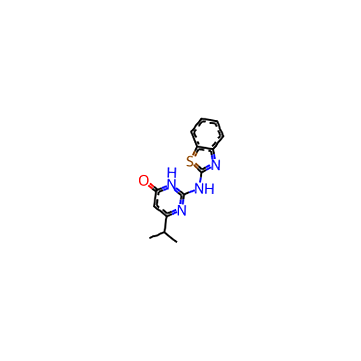 CC(C)c1cc(=O)[nH]c(Nc2nc3ccccc3s2)n1